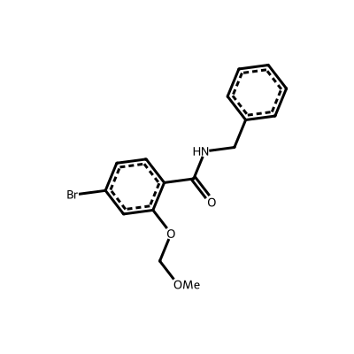 COCOc1cc(Br)ccc1C(=O)NCc1ccccc1